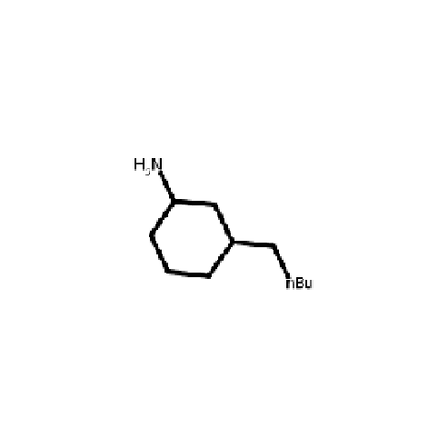 CCCCCC1CCCC(N)C1